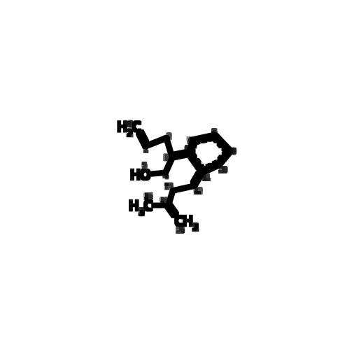 C=CC/C(CO)=c1\cccc\c1=C\CC(=C)C